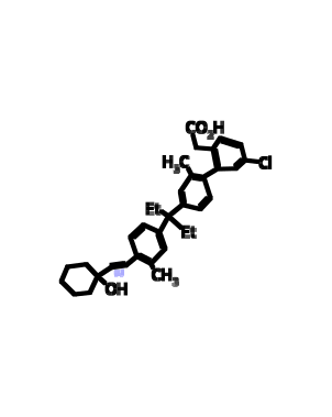 CCC(CC)(c1ccc(/C=C/C2(O)CCCCC2)c(C)c1)c1ccc(-c2cc(Cl)ccc2CC(=O)O)c(C)c1